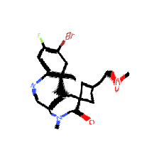 COCC1CC2(C1)C(=O)N(C)C1=C2C2(C)CC(Br)=C(F)C=C2N=C1